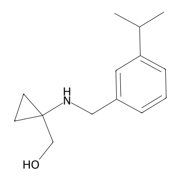 CC(C)c1cccc(CNC2(CO)CC2)c1